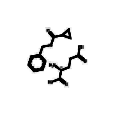 N[C@@H](CCC(=O)O)C(=O)O.O=C(OCc1ccccc1)C1CC1